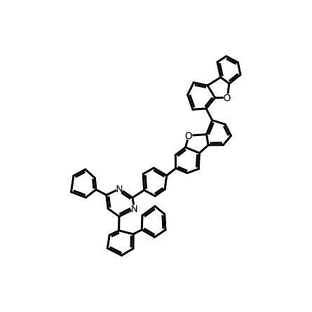 c1ccc(-c2cc(-c3ccccc3-c3ccccc3)nc(-c3ccc(-c4ccc5c(c4)oc4c(-c6cccc7c6oc6ccccc67)cccc45)cc3)n2)cc1